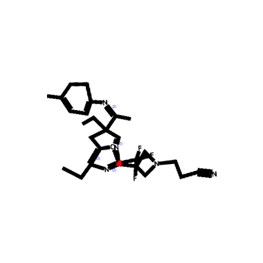 CCC1=C(/OCC(F)(F)F)CC(CC)(/C(C)=N\C2=CC=C(C)CC2)/C=N/C(C2CN(CCC#N)C2)=N\1